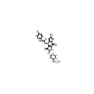 CCc1cc2n(CC(=O)Nc3ccc(F)cn3)c3c(c(=O)n2n1)CN(C[C@H]1CN(C(=O)O)CCO1)C3=O